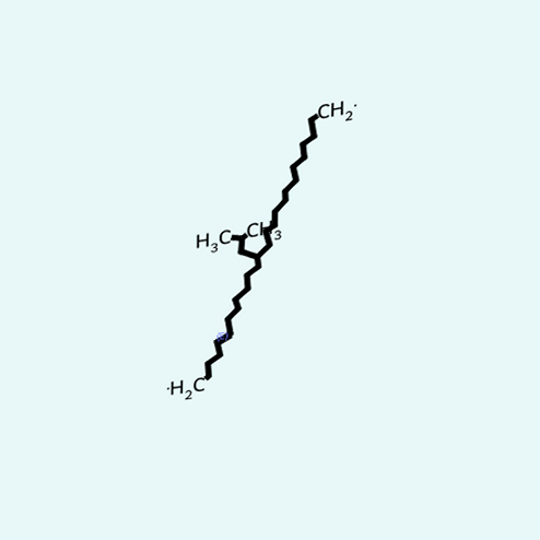 [CH2]CCC/C=C/CCCCCCC(CCCCCCCCCCCC[CH2])CC(C)C